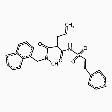 C=CCC(C(=O)NS(=O)(=O)C=Cc1ccccc1)C(=O)N(C)Cc1cccc2ccccc12